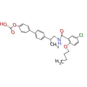 CCCCOc1ccc(Cl)cc1C(=O)NCC(C)c1ccc(-c2ccc(OC(=O)O)cc2)cc1